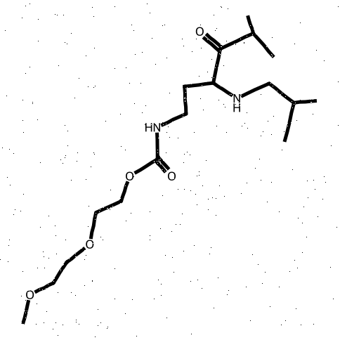 COCCOCCOC(=O)NCCC(NCC(C)C)C(=O)C(C)C